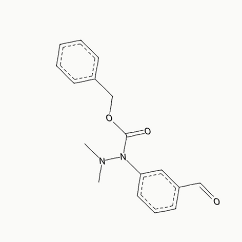 CN(C)N(C(=O)OCc1ccccc1)c1cccc(C=O)c1